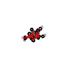 C[Si](C)(CCC1CCC2OC2C1)O[Si]1(O[Si](C)(C)CCC2CCC3OC3C2)O[Si]2(c3ccccc3)O[Si]3(c4ccccc4)O[Si]4(c5ccccc5)O[Si](O[Si](C)(C)CCC5CCC6OC6C5)(O[Si](C)(C)CCC5CCC6OC6C5)O[Si]5(c6ccccc6)O[Si](c6ccccc6)(O[Si](c6ccccc6)(O1)O[Si](c1ccccc1)(O5)O[Si](c1ccccc1)(O2)O4)O3